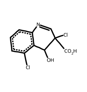 O=C(O)C1(Cl)C=Nc2cccc(Cl)c2C1O